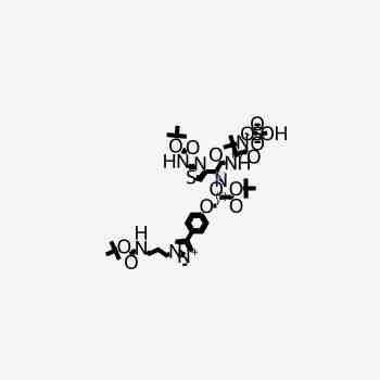 C[n+]1cc(-c2ccc(OC[C@H](O/N=C(/C(=O)N[C@@H]3C(=O)N(OS(=O)(=O)O)C3(C)C)c3csc(NC(=O)OC(C)(C)C)n3)C(=O)OC(C)(C)C)cc2)cn1CCCNC(=O)OC(C)(C)C